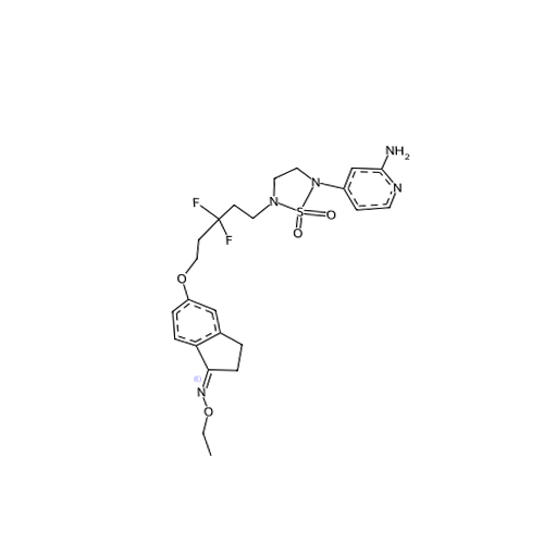 CCO/N=C1\CCc2cc(OCCC(F)(F)CCN3CCN(c4ccnc(N)c4)S3(=O)=O)ccc21